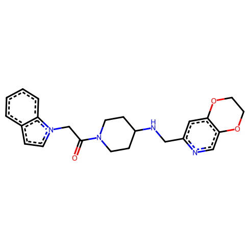 O=C(Cn1ccc2ccccc21)N1CCC(NCc2cc3c(cn2)OCCO3)CC1